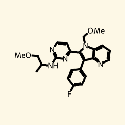 COCC(C)Nc1nccc(-c2c(-c3ccc(F)cc3)c3ncccc3n2COC)n1